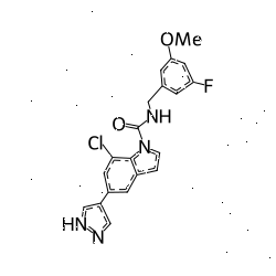 COc1cc(F)cc(CNC(=O)n2ccc3cc(-c4cn[nH]c4)cc(Cl)c32)c1